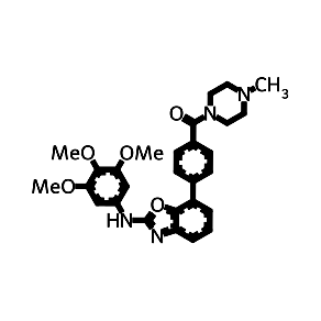 COc1cc(Nc2nc3cccc(-c4ccc(C(=O)N5CCN(C)CC5)cc4)c3o2)cc(OC)c1OC